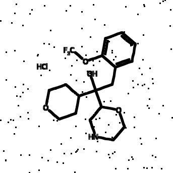 Cl.OC(Cc1ccccc1OC(F)(F)F)(C1CCOCC1)C1CNCCO1